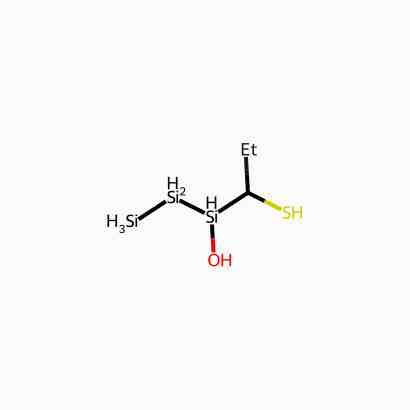 CCC(S)[SiH](O)[SiH2][SiH3]